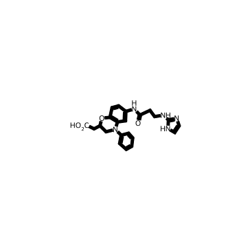 O=C(O)CC1CN(c2ccccc2)c2cc(NC(=O)CCNc3ncc[nH]3)ccc2O1